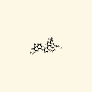 C[C@H]1CC[C@@H](C(N)=O)N1c1cc(C(F)(F)F)ccc1-c1cc(Oc2cccc3[nH]c(=O)c(N)nc23)ncn1